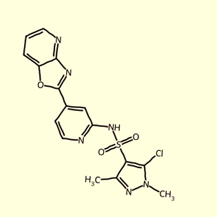 Cc1nn(C)c(Cl)c1S(=O)(=O)Nc1cc(-c2nc3ncccc3o2)ccn1